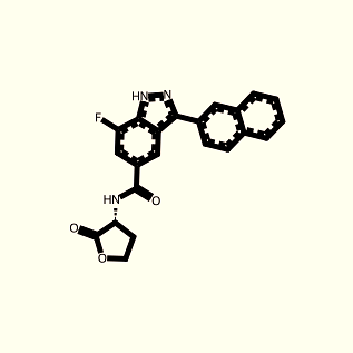 O=C(N[C@@H]1CCOC1=O)c1cc(F)c2[nH]nc(-c3ccc4ccccc4c3)c2c1